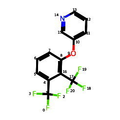 FC(F)(F)c1cccc(Oc2cc[c]nc2)c1C(F)(F)F